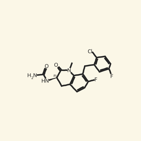 CN1C(=O)[C@H](NC(N)=O)Cc2ccc(F)c(Cc3cc(F)ccc3Cl)c21